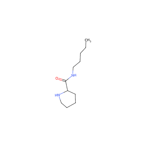 CCCCCNC(=O)C1CCCCN1